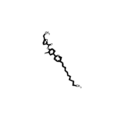 CCCCCCCCCCCc1ccc(-c2ccc(OC(=O)c3ccc(CC)o3)c(F)c2)nc1